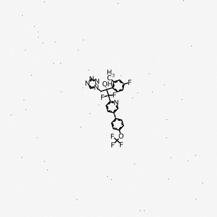 Cc1cc(F)ccc1[C@](O)(Cn1cnnn1)C(F)(F)c1ccc(-c2ccc(OC(F)(F)F)cc2)cn1